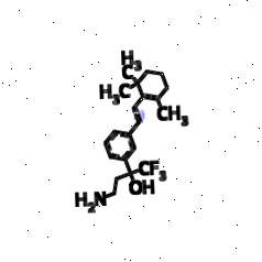 CC1=C(/C=C/c2cccc(C(O)(CCN)C(F)(F)F)c2)C(C)(C)CCC1